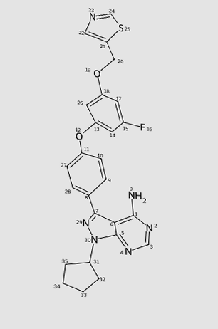 Nc1ncnc2c1c(-c1ccc(Oc3cc(F)cc(OCc4cncs4)c3)cc1)nn2C1CCCC1